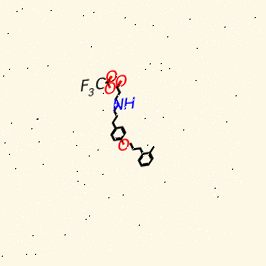 Cc1ccccc1CCCOc1ccc(CCCNCCC(=O)OC(=O)C(F)(F)F)cc1